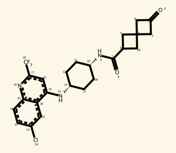 O=C1CC2(C1)CC(C(=O)N[C@H]1CC[C@@H](Nc3cc(C(F)(F)F)nc4ccc(Cl)cc34)CC1)C2